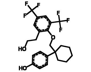 OCCc1cc(C(F)(F)F)cc(C(F)(F)F)c1OCC1(c2ccc(O)cc2)CCCCC1